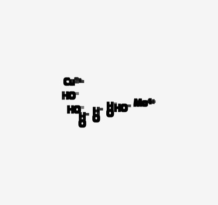 [Cu+2].[Mo+4].[OH-].[OH-].[OH-].[OH-].[OH-].[OH-]